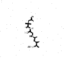 CCCCCCCC(C)C(C)CC(C)BCC(S)NC(=O)C(C)(C)CC(C)C(C)C